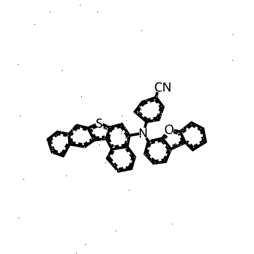 N#Cc1ccc(N(c2cc3sc4cc5ccccc5cc4c3c3ccccc23)c2cccc3c2oc2ccccc23)cc1